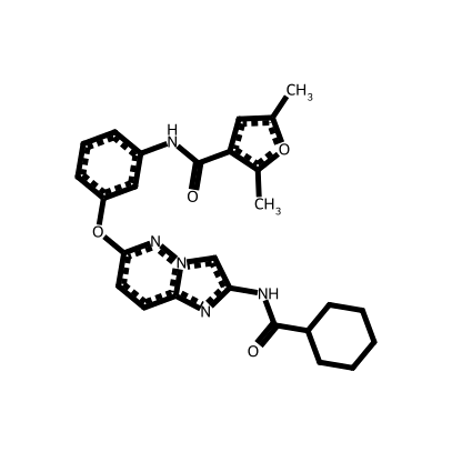 Cc1cc(C(=O)Nc2cccc(Oc3ccc4nc(NC(=O)C5CCCCC5)cn4n3)c2)c(C)o1